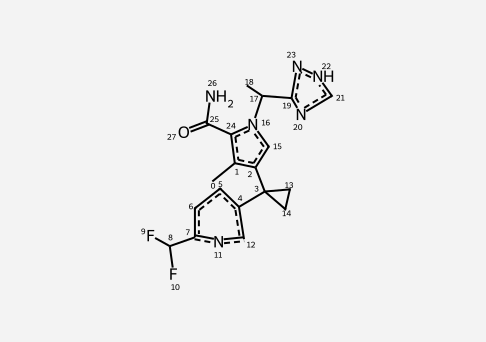 Cc1c(C2(c3ccc(C(F)F)nc3)CC2)cn(C(C)c2nc[nH]n2)c1C(N)=O